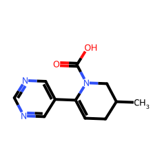 CC1CC=C(c2cncnc2)N(C(=O)O)C1